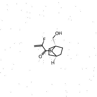 C=C(F)C(=O)N1[C@H]2CC[C@]1(CO)CC2